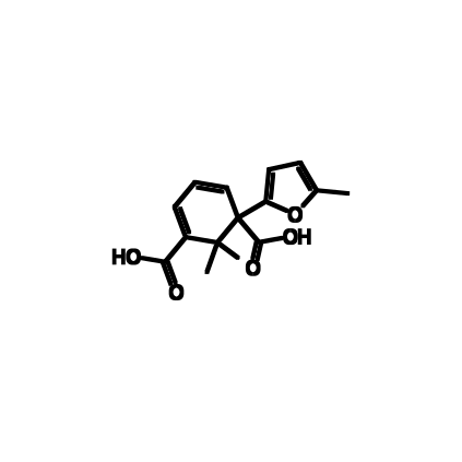 Cc1ccc(C2(C(=O)O)C=CC=C(C(=O)O)C2(C)C)o1